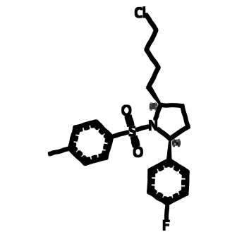 Cc1ccc(S(=O)(=O)N2[C@@H](CCCCCl)CC[C@H]2c2ccc(F)cc2)cc1